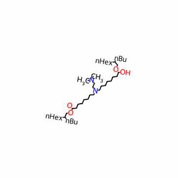 CCCCCCC(CCCC)COC(=O)CCCCCCCN(CCCCCCCC(O)OCC(CCCC)CCCCCC)CCN(C)C